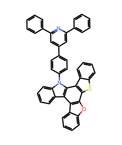 c1ccc(-c2cc(-c3ccc(-n4c5ccccc5c5c6c7ccccc7oc6c6sc7ccccc7c6c54)cc3)cc(-c3ccccc3)n2)cc1